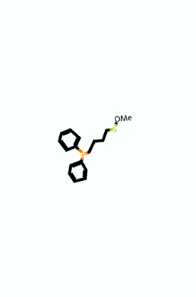 COSCCCCP(c1ccccc1)c1ccccc1